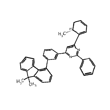 C[C@@H]1CC=CC=C1c1cc(-c2cccc(-c3cccc4c3-c3ccccc3C4(C)C)c2)nc(-c2ccccc2)n1